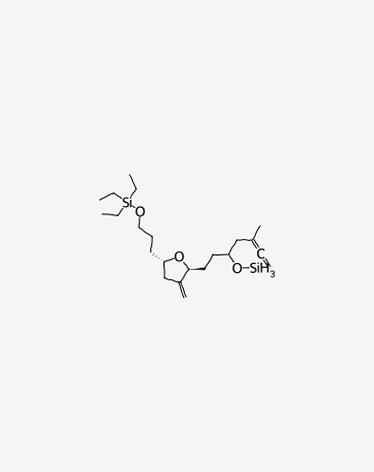 C=C=C(C)CC(CC[C@@H]1O[C@@H](CCCO[Si](CC)(CC)CC)CC1=C)O[SiH3]